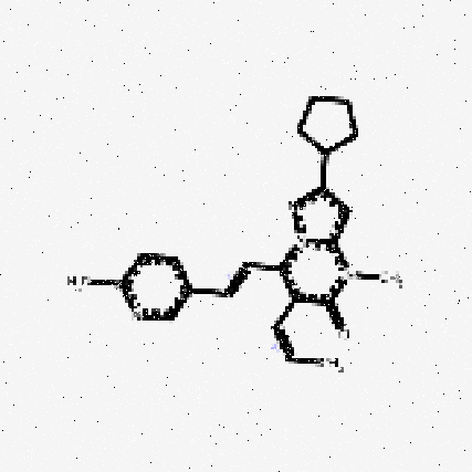 C/C=C\c1c(/C=C/c2ccc(N)nc2)n2nc(C3CCCC3)cc2n(C)c1=O